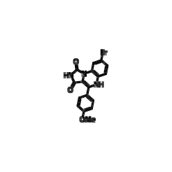 COc1ccc(-c2[nH]c3ccc(Br)cc3n3c(=O)[nH]c(=O)c2-3)cc1